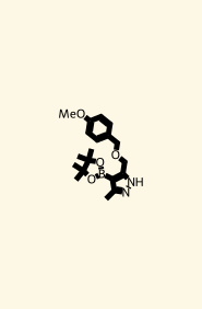 COc1ccc(COCc2[nH]nc(C)c2B2OC(C)(C)C(C)(C)O2)cc1